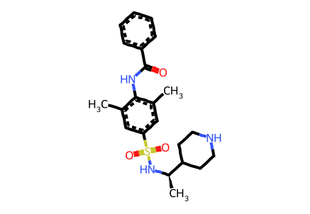 Cc1cc(S(=O)(=O)N[C@H](C)C2CCNCC2)cc(C)c1NC(=O)c1ccccc1